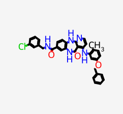 Cc1ccc(OCc2ccccc2)cc1Nc1ccnc2c1C(=O)Nc1cc(C(=O)NCc3cccc(Cl)c3)ccc1N2